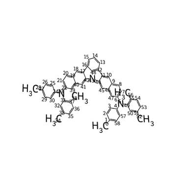 Cc1ccc(N(c2ccc3cc4c5cccc6c7cc8ccc(N(c9ccc(C)cc9)c9cc(C)ccc9C)cc8cc7n(c4cc3c2)c56)c2cc(C)ccc2C)cc1